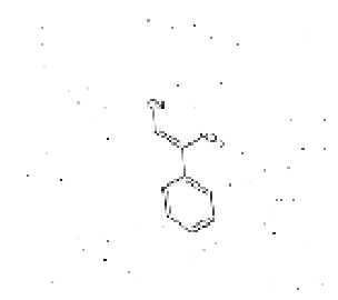 N#C[C]=C(c1ccccc1)[N+](=O)[O-]